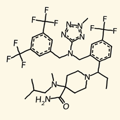 CCC(c1ccc(C(F)(F)F)cc1CN(Cc1cc(C(F)(F)F)cc(C(F)(F)F)c1)c1nnn(C)n1)N1CCC(C(N)=O)(N(C)CC(C)C)CC1